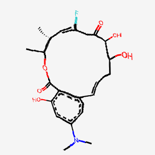 CC1OC(=O)c2c(O)cc(N(C)C)cc2/C=C/CC(O)C(O)C(=O)/C(F)=C\[C@H]1C